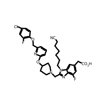 N#CCCCCCCn1c(CN2CCC(Oc3cccc(COc4ccc(Cl)cc4F)n3)CC2)nc2c(F)cc(CC(=O)O)cc21